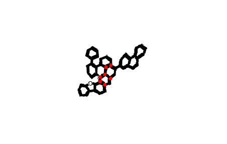 c1ccc(-c2ccccc2-c2c(-c3ccccc3)cccc2N(c2ccc(-c3ccc4c(ccc5ccccc54)c3)cc2)c2cccc3c2oc2ccccc23)cc1